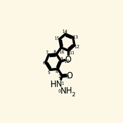 NNC(=O)c1cccc2c1oc1ccccc12